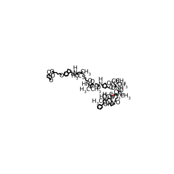 CC[C@H](C)[C@@H](CCC(=O)N1CCC[C@H]1[C@H](OC)[C@@H](C)C(=O)N[C@H](C)[C@@H](O)c1ccccc1)N(C)C(=O)CNC(=O)[C@H](C(C)C)N(C)C(=O)OCc1ccc(NC(=O)CNC(=O)[C@@H](NC(=O)CCSSC(C)(C)CC(=O)N/N=C2\CCc3cc(OCCCC(=O)ON4C(=O)CCC4=O)ccc32)C(C)C)cc1